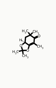 CC1=C2OC(C)(C)O[C@H]2CC(C)(C)C1=O